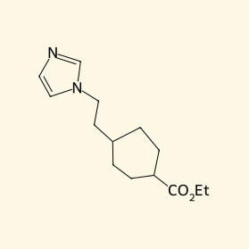 CCOC(=O)C1CCC(CCn2ccnc2)CC1